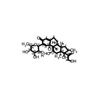 C[C@@H]1C[C@H]2[C@@H]3CCC4=CC(=O)C(C5O[C@H](C)[C@@H](O)[C@H](O)[C@@H]5O)=C[C@]4(C)[C@@]3(F)[C@@H](O)C[C@]2(C)[C@@]1(O)C(=O)CO